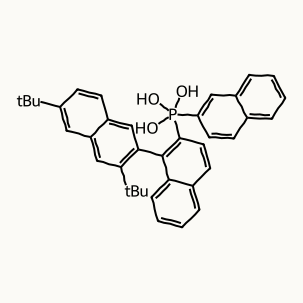 CC(C)(C)c1ccc2cc(-c3c(P(O)(O)(O)c4ccc5ccccc5c4)ccc4ccccc34)c(C(C)(C)C)cc2c1